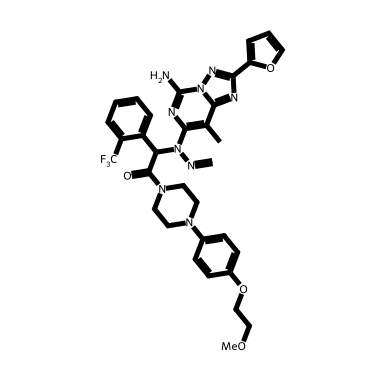 C=NN(c1nc(N)n2nc(-c3ccco3)nc2c1C)C(C(=O)N1CCN(c2ccc(OCCOC)cc2)CC1)c1ccccc1C(F)(F)F